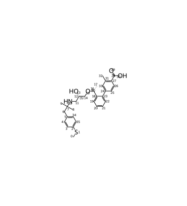 CSc1ccc(CC(C)(C)NC[C@H](O)CO[C@H](C)c2ccccc2-c2ccc(C(=O)O)c(C)c2)cc1